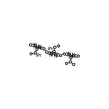 CC(C)c1cc(-c2ccccc2)cc(-c2cc3c4c(c2)n2c5cc6cc(-c7ccc8cc9nc%10n(c9cc8c7)c7cc(-c8cc(-c9ccccc9)ccc8C(C)C)cc8c7n%10c7nc9cc%10ccc(-c%11ccc%12cc%13nc%14n(c%13cc%12c%11)c%11cc(-c%12cc(-c%13ccccc%13)cc(-c%13ccccc%13)c%12)cc%12c%11n%14c%11nc%13cc%14ccccc%14cc%13n%12%11)cc%10cc9n87)ccc6cc5nc2n4c2nc4cc5ccccc5cc4n32)c1